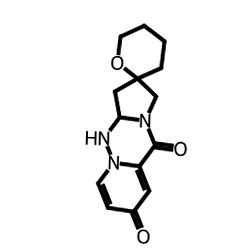 O=C1c2cc(=O)ccn2NC2CC3(CCCCO3)CN12